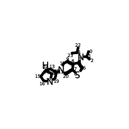 CC(C)N(c1csc2c1=CCN([C@@H]1C[C@H]3CCN(C3)C1)C=2)C(C)C